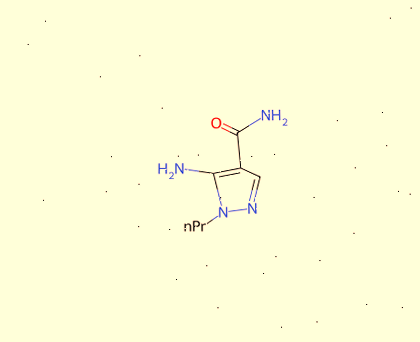 CCCn1ncc(C(N)=O)c1N